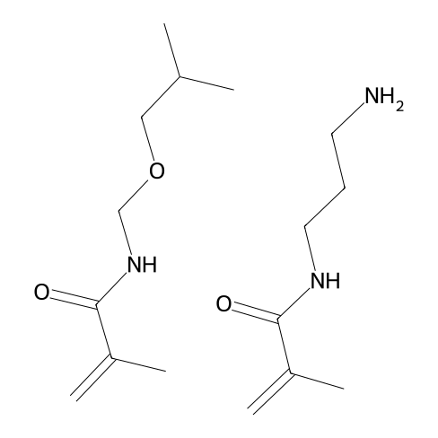 C=C(C)C(=O)NCCCN.C=C(C)C(=O)NCOCC(C)C